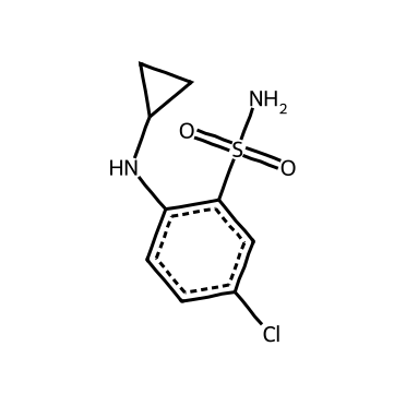 NS(=O)(=O)c1cc(Cl)ccc1NC1CC1